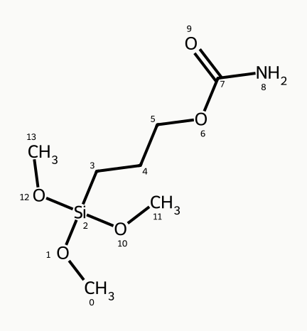 CO[Si](CCCOC(N)=O)(OC)OC